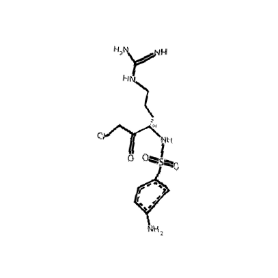 N=C(N)NCCC[C@H](NS(=O)(=O)c1ccc(N)cc1)C(=O)CCl